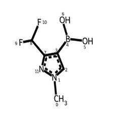 Cn1cc(B(O)O)c(C(F)F)n1